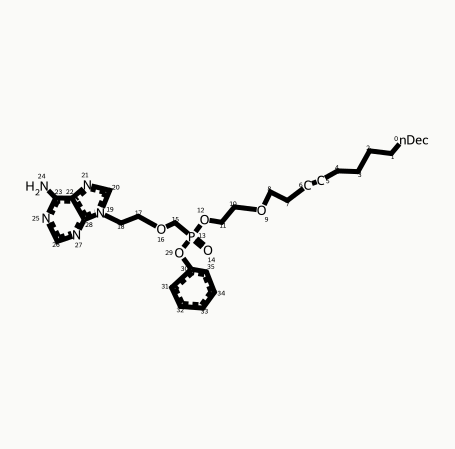 CCCCCCCCCCCCCCCCCCOCCOP(=O)(COCCn1cnc2c(N)ncnc21)Oc1ccccc1